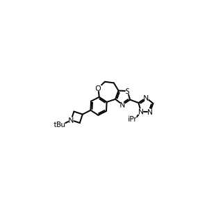 CC(C)n1ncnc1-c1nc2c(s1)CCOc1cc(C3CN(C(C)(C)C)C3)ccc1-2